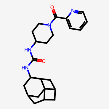 O=C(NC1CCN(C(=O)c2ccccn2)CC1)NC12CC3CC4CC(C1)C4(C3)C2